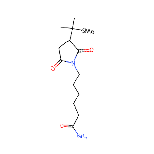 CSC(C)(C)C1CC(=O)N(CCCCCC(N)=O)C1=O